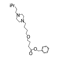 CC(C)CCN1CCN(CCCCOCCCC(=O)OCc2ccccc2)CC1